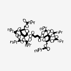 CCCC(=O)OC[C@H]1O[C@H](OC(=O)/C=C/C(=O)O[C@H]2O[C@H](COC(=O)CCC)[C@@H](OC(=O)CCC)[C@H](OC(=O)CCC)[C@@H]2OC(=O)CCC)[C@@H](OC(=O)CCC)[C@@H](OC(=O)CCC)[C@@H]1OC(=O)CCC